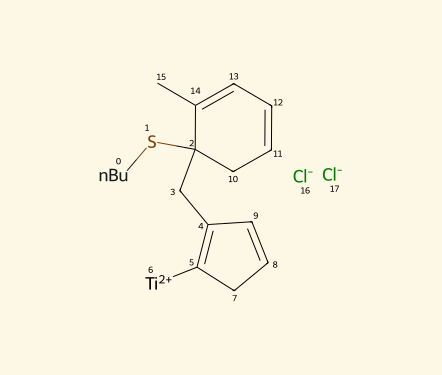 CCCCSC1(CC2=[C]([Ti+2])CC=C2)CC=CC=C1C.[Cl-].[Cl-]